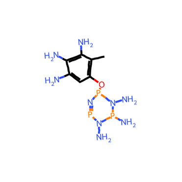 Cc1c(Op2npn(N)p(N)n2N)cc(N)c(N)c1N